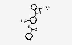 Cc1cc(-n2nc(C(=O)O)c3c2CCC3)ccc1NC(=O)c1cccnc1